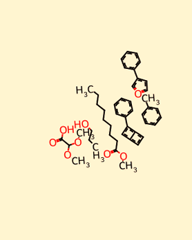 CCCCCCCCC(=O)OC.CCCO.COC(OC)C(=O)O.Cc1ccccc1.c1ccc(-c2cc3ccc2-3)cc1.c1ccc(-c2ccoc2)cc1